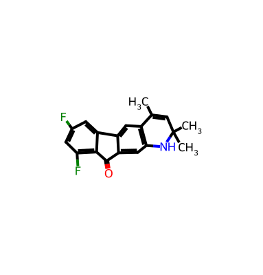 CC1=CC(C)(C)Nc2cc3c(cc21)-c1cc(F)cc(F)c1C3=O